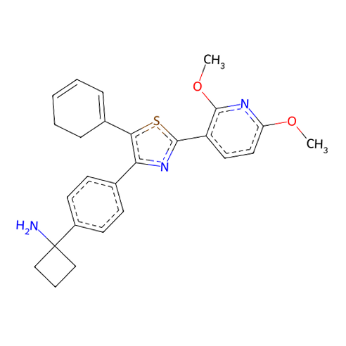 COc1ccc(-c2nc(-c3ccc(C4(N)CCC4)cc3)c(C3=CC=CCC3)s2)c(OC)n1